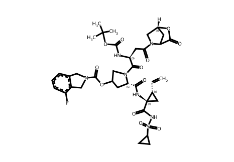 C=C[C@@H]1C[C@]1(NC(=O)[C@@H]1CC(OC(=O)N2Cc3cccc(F)c3C2)CN1C(=O)[C@H](CC(=O)N1C[C@H]2CC1C(=O)O2)NC(=O)OC(C)(C)C)C(=O)NS(=O)(=O)C1CC1